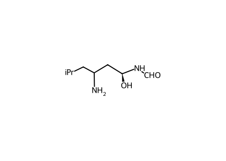 CC(C)CC(N)C[C@H](O)NC=O